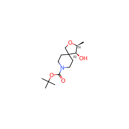 C[C@@H]1OCC2(CCN(C(=O)OC(C)(C)C)CC2)[C@@H]1O